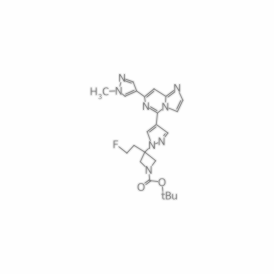 Cn1cc(-c2cc3nccn3c(-c3cnn(C4(CCF)CN(C(=O)OC(C)(C)C)C4)c3)n2)cn1